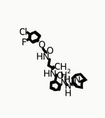 C=C(CCNC(=O)COc1ccc(Cl)c(F)c1)NC(=O)c1ccccc1NN/C1=C/C/C(N)=C/CCC1